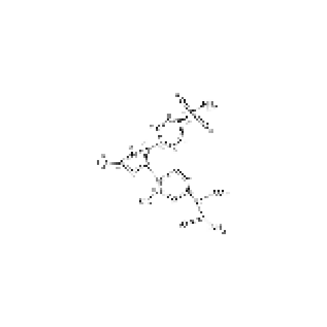 CSN(C(N)=O)c1ccc(-c2cc(C(F)(F)F)nn2-c2ccc(S(N)(=O)=O)cc2)c(Cl)c1